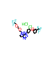 Cl.FC(F)(F)COCCOCCn1ccc2ncnc(Nc3ccc(Oc4cccc(C(F)(F)F)c4)c(Cl)c3)c21